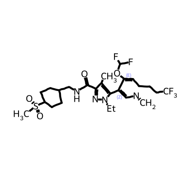 C=N/C=C(\C(=C/CCCC(F)(F)F)OC(F)F)c1c(C)c(C(=O)NCC2CCC(S(C)(=O)=O)CC2)nn1CC